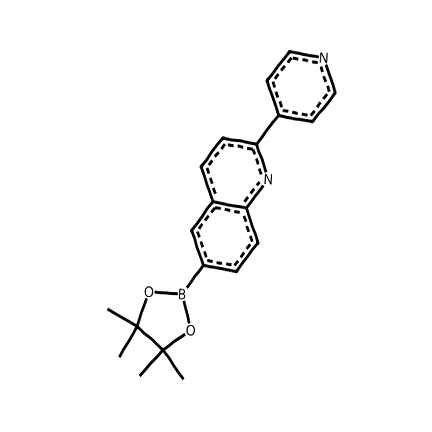 CC1(C)OB(c2ccc3nc(-c4ccncc4)ccc3c2)OC1(C)C